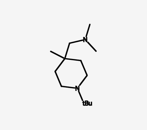 CN(C)CC1(C)CCN(C(C)(C)C)CC1